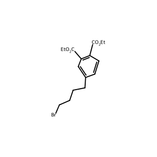 CCOC(=O)c1ccc(CCCCBr)cc1C(=O)OCC